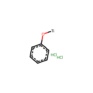 Cl.Cl.[Ti][O]c1ccccc1